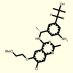 COCCOc1cc2c(N[C@H](C)c3cc(N)cc(C(F)(F)C(C)(C)O)c3)nc(C)nc2cc1Cl